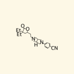 CCC1(CC)CC(CCN2CC3CN(c4ccc(C#N)cc4)C[C@H]3C2)OC1=O